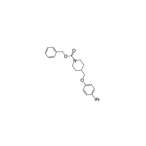 CC(C)c1ccc(OCC2CCN(C(=O)OCc3ccccc3)CC2)cc1